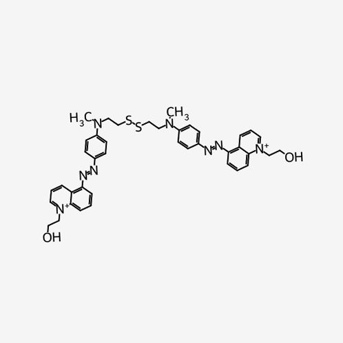 CN(CCSSCCN(C)c1ccc(/N=N/c2cccc3c2ccc[n+]3CCO)cc1)c1ccc(/N=N/c2cccc3c2ccc[n+]3CCO)cc1